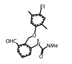 CCc1cc(C)c(OCc2c(C=O)cccc2N(C)C(=O)NC)cc1C